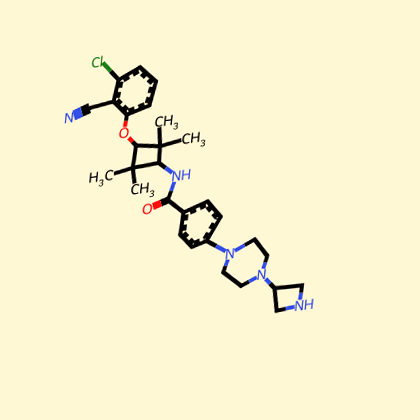 CC1(C)C(NC(=O)c2ccc(N3CCN(C4CNC4)CC3)cc2)C(C)(C)C1Oc1cccc(Cl)c1C#N